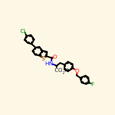 O=C(NC(Cc1ccc(OCc2ccc(F)cc2)cc1)C(=O)O)c1cc2cc(-c3ccc(Cl)cc3)ccc2s1